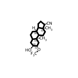 C[C@]12C[C@H](OC(F)(F)F)[C@@H](O)CC1CC[C@@H]1C2CC[C@@]2(C)C1CC[C@@H]2C#N